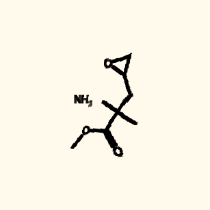 COC(=O)C(C)(C)CC1CO1.N